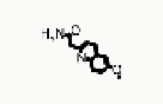 COc1ccc2nc(CC(N)=O)ccc2c1